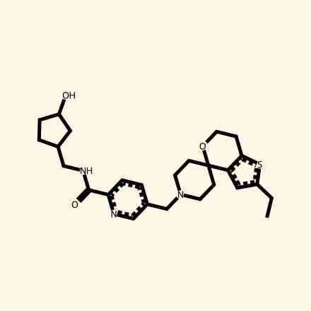 CCc1cc2c(s1)CCOC21CCN(Cc2ccc(C(=O)NCC3CCC(O)C3)nc2)CC1